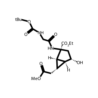 CCOC(=O)[C@]1(NC(=O)CNC(=O)OC(C)(C)C)C[C@H](O)[C@H]2[C@H](CC(=O)OC)[C@H]21